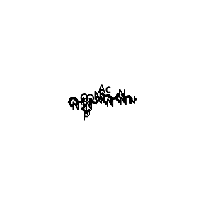 CC(=O)c1nn(CC(=O)N2C[C@H](F)C[C@H]2C(=O)c2ccccn2)c2cnc(-c3cnc(CN(C)C)nc3)cc12